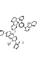 Cc1ccccc1-c1ccc(C(Cc2ccc3c(c2)C(c2ccccc2)(c2ccc(-c4cccc5c4oc4ccccc45)cc2)c2ccccc2-3)c2ccc(-c3ccccc3)cc2C)cc1C